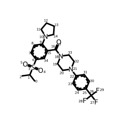 CC(C)S(=O)(=O)c1ccc(N2CCCC2)c(C(=O)N2CCN(c3ccc(C(F)(F)F)cc3)CC2)c1